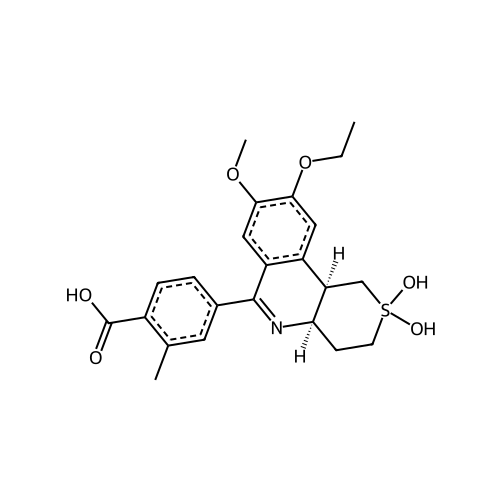 CCOc1cc2c(cc1OC)C(c1ccc(C(=O)O)c(C)c1)=N[C@@H]1CCS(O)(O)C[C@H]21